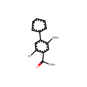 CCc1cc(-c2ccccc2)c(OC)cc1C(=O)OC